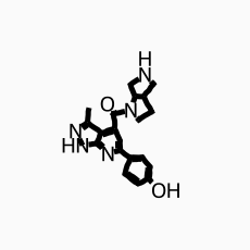 Cc1n[nH]c2nc(-c3ccc(O)cc3)cc(C(=O)N3CCC4CNCC43)c12